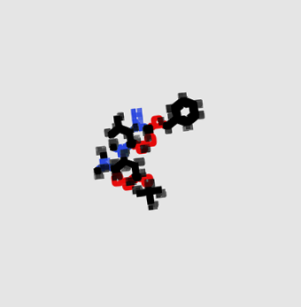 CC(C)[C@H](NC(=O)OCc1ccccc1)C(=O)N(C)[C@@H](CC(=O)OC(C)(C)C)C(=O)N(C)C